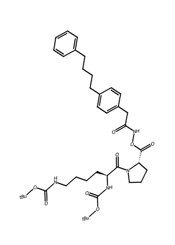 CC(C)(C)OC(=O)NCCCC[C@H](NC(=O)OC(C)(C)C)C(=O)N1CCC[C@H]1C(=O)ONC(=O)Cc1ccc(CCCCc2ccccc2)cc1